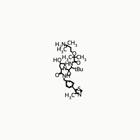 Cc1ncsc1-c1ccc(CNC(=O)C2CC(O)CN2C(=O)C(NC(=O)C(C)(C)OCCC(C)(C)N)C(C)(C)C)cc1